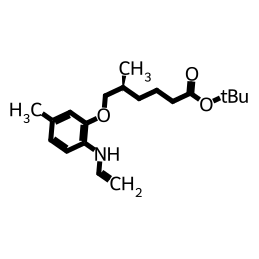 C=CNc1ccc(C)cc1OC[C@@H](C)CCCC(=O)OC(C)(C)C